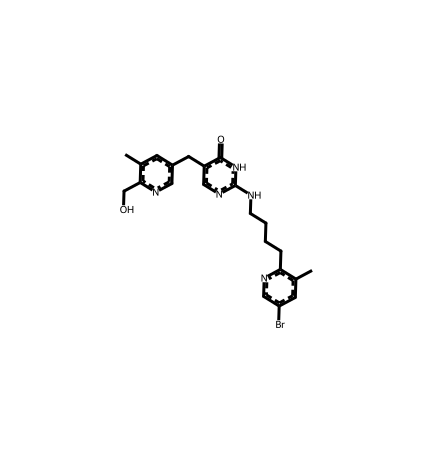 Cc1cc(Cc2cnc(NCCCCc3ncc(Br)cc3C)[nH]c2=O)cnc1CO